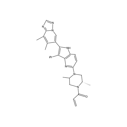 C=CC(=O)N1CC(C)N(c2ccc3[nH]c(-c4cn5ncnc5c(C)c4C)c(C(C)C)c3n2)C[C@@H]1C